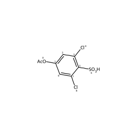 CC(=O)Oc1cc(Cl)c(S(=O)(=O)O)c(Cl)c1